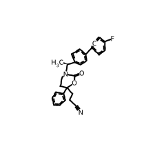 C[C@@H](c1ccc(-c2ccc(F)cc2)cc1)N1CCC(CCC#N)(c2ccccc2)OC1=O